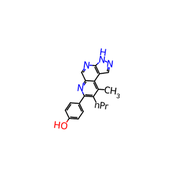 CCCc1c(-c2ccc(O)cc2)nc2cnc3[nH]ncc3c2c1C